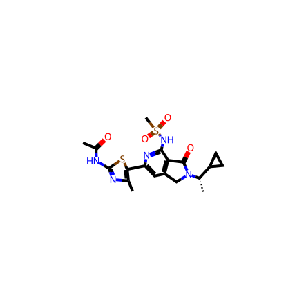 CC(=O)Nc1nc(C)c(-c2cc3c(c(NS(C)(=O)=O)n2)C(=O)N([C@@H](C)C2CC2)C3)s1